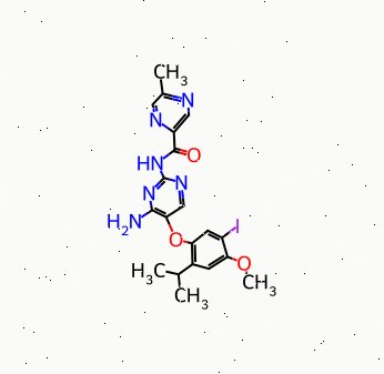 COc1cc(C(C)C)c(Oc2cnc(NC(=O)c3cnc(C)cn3)nc2N)cc1I